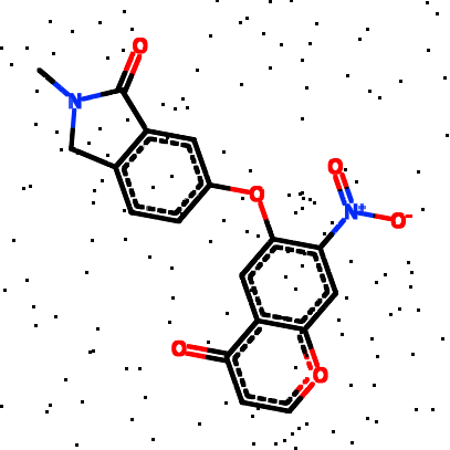 CN1Cc2ccc(Oc3cc4c(=O)ccoc4cc3[N+](=O)[O-])cc2C1=O